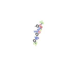 Cc1ccc(OCCC(F)(F)F)c(N2C(=O)CS/C2=N\C(=O)Nc2ccc(-c3ncn(-c4cccc(C(F)(F)F)c4)n3)cc2C)c1